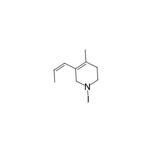 C/C=C\C1=C(C)CCN(I)C1